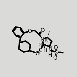 C[C@@H]1C[C@H](NS(C)(=O)=O)[C@@H]2COC3CCC(CC3)c3ccccc3OCC(=O)N12